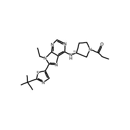 CCC(=O)N1CC[C@H](Nc2ncnc3c2nc(-c2cnc(C(C)(C)C)s2)n3CC)C1